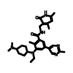 CCN(c1cc(-c2cnc(C)nc2)cc(C(=O)NCc2c(C)cc(C)[nH]c2=O)c1C)C1CCC(N(C)C)CC1